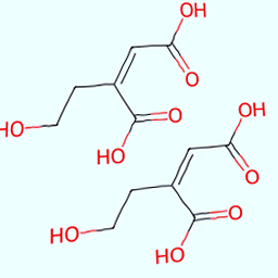 O=C(O)C=C(CCO)C(=O)O.O=C(O)C=C(CCO)C(=O)O